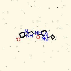 COc1ccc2nc(CCNC(=O)c3cccn4c(C5CCC5)nnc34)[nH]c2c1